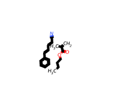 C=C(C)C(=O)OCCCC.N#CC=CC=Cc1ccccc1